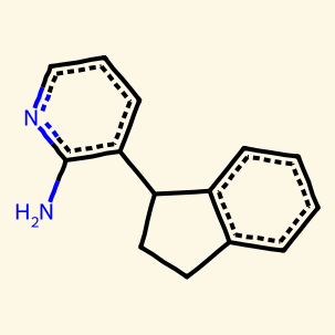 Nc1ncccc1C1CCc2ccccc21